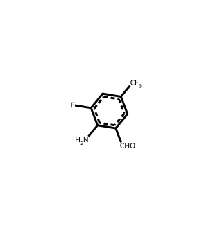 Nc1c(F)cc(C(F)(F)F)cc1C=O